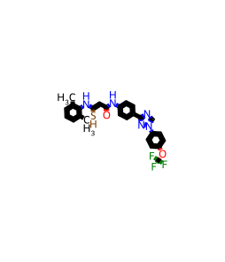 Cc1cccc(C)c1N/C(S)=C/C(=O)Nc1ccc(-c2ncn(-c3ccc(OC(F)(F)F)cc3)n2)cc1